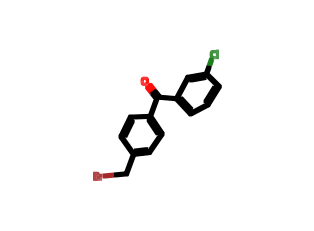 O=C(c1ccc(CBr)cc1)c1cccc(Cl)c1